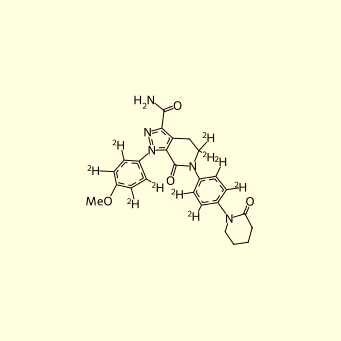 [2H]c1c([2H])c(-n2nc(C(N)=O)c3c2C(=O)N(c2c([2H])c([2H])c(N4CCCCC4=O)c([2H])c2[2H])C([2H])([2H])C3)c([2H])c([2H])c1OC